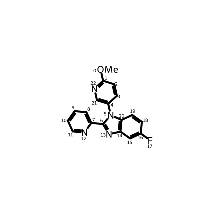 COc1ccc(-n2c(-c3ccccn3)nc3cc(F)ccc32)cn1